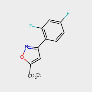 CCOC(=O)c1cc(-c2ccc(F)cc2F)no1